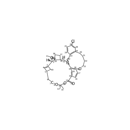 CO[C@H]1C2=CC(CCOC(C)(C)OC(=O)c3ccc4c(c3)N(Cc3ccc(Cl)cc3CCCCO4)C[C@@H]3CC[C@H]31)C2